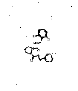 O=C(NCc1cccnc1)[C@H]1CCCN1C(=O)NCc1c(Cl)cccc1Cl